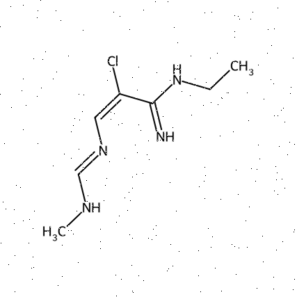 CCNC(=N)/C(Cl)=C\N=C\NC